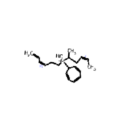 C=C/C=C\CC[PH](O)(C1C=CC=CC=C1)C(C)C/C=C\C